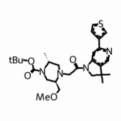 COC[C@H]1CN(C(=O)OC(C)(C)C)[C@H](C)CN1CC(=O)N1CC(C)(C)c2cnc(-c3ccsc3)cc21